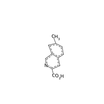 Cc1ccc2cc(C(=O)O)ncc2c1